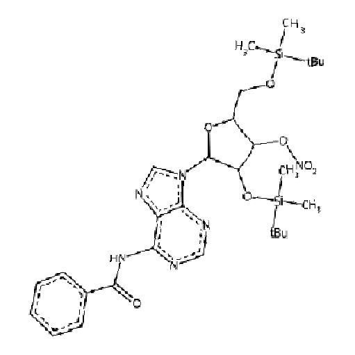 CC(C)(C)[Si](C)(C)OCC1OC(n2cnc3c(NC(=O)c4ccccc4)ncnc32)C(O[Si](C)(C)C(C)(C)C)C1O[N+](=O)[O-]